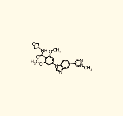 COc1cc(-n2cnc3cc(-c4cnn(C)c4)ccc32)cc(OC)c1C(=O)NC1COC1